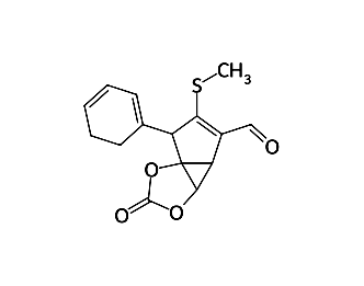 CSC1=C(C=O)C2C3OC(=O)OC32C1C1=CC=CCC1